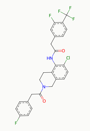 O=C(Cc1ccc(C(F)(F)F)c(F)c1)Nc1c(Cl)ccc2c1CCN(C(=O)Cc1ccc(F)cc1)C2